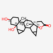 C[C@]12CCC3C(C4CC4[C@]4(O)C[C@@H](O)CC[C@]34C)C1C1CC1[C@@]21CCC(=O)O1